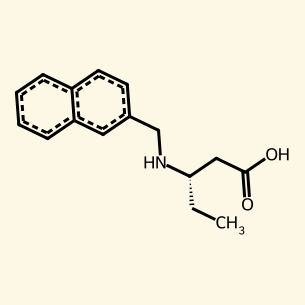 CC[C@@H](CC(=O)O)NCc1ccc2ccccc2c1